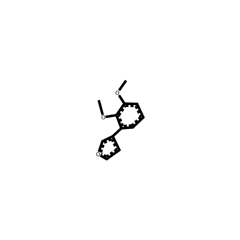 COc1cccc(-c2ccoc2)c1OC